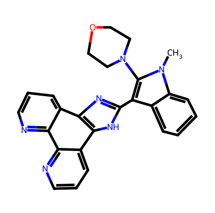 Cn1c(N2CCOCC2)c(-c2nc3c4cccnc4c4ncccc4c3[nH]2)c2ccccc21